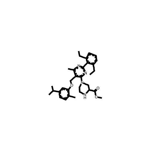 CCc1cccc(CC)c1-c1nc(C)c(COc2cc(C(C)C)ccc2C)c(N2CCNC(C(=O)OC)C2)n1